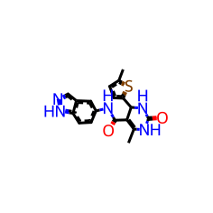 CC1=C(C(=O)Nc2ccc3[nH]ncc3c2)C(c2ccc(C)s2)NC(=O)N1